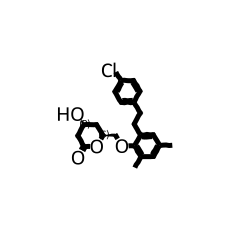 Cc1cc(C)c(OC[C@@H]2C[C@@H](O)CC(=O)O2)c(CCc2ccc(Cl)cc2)c1